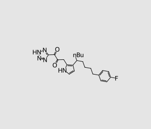 CCCCC(CCCCc1ccc(F)cc1)c1cc[nH]c1CC(=O)C(=O)c1nn[nH]n1